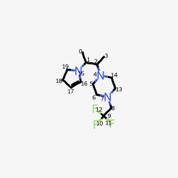 CC(C(C)N1CCN(CC(F)(F)F)CC1)N1C=CCC1